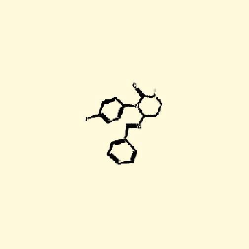 O=C1NCCC(N=Cc2ccccc2)N1c1ccc(I)cc1